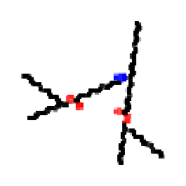 CCCCCCCCCCC(CCCCCC(=O)OCC(CCCCCC)CCCCCCCC)NCCCCCCCCC(=O)OCC(CCCCCC)CCCCCCCC